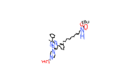 Cc1nn2c(N3CCN(CCO)CC3)cc(-c3cccc(CCCCCCCCCNC(=O)OC(C)(C)C)c3)nc2c1-c1ccccc1